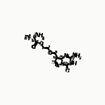 CC(C)[C@H](N)C(=O)OCCOCc1cnn2c(=O)[nH]c(N)nc12